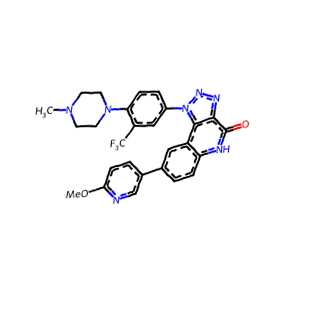 COc1ccc(-c2ccc3[nH]c(=O)c4nnn(-c5ccc(N6CCN(C)CC6)c(C(F)(F)F)c5)c4c3c2)cn1